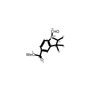 COC(=O)c1ccc2c(c1)C(C)(C)C(C)N2C=O